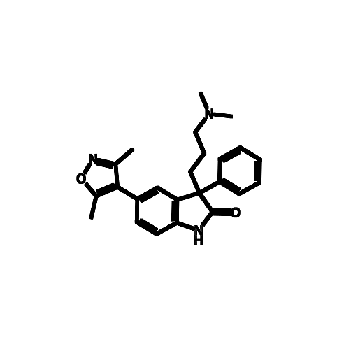 Cc1noc(C)c1-c1ccc2c(c1)C(CCCN(C)C)(c1ccccc1)C(=O)N2